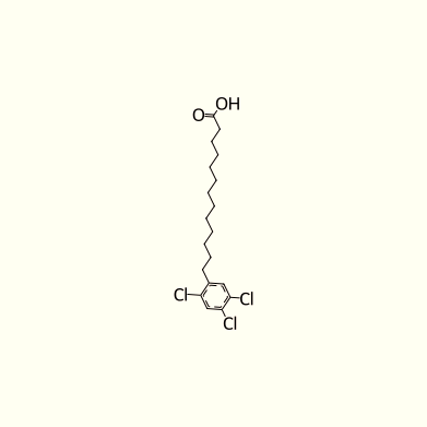 O=C(O)CCCCCCCCCCCCc1cc(Cl)c(Cl)cc1Cl